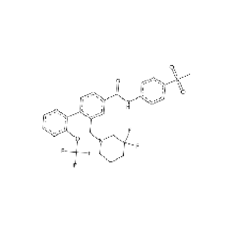 CS(=O)(=O)c1ccc(NC(=O)c2ccc(-c3ccccc3OC(F)(F)F)c(CN3CCCC(F)(F)C3)c2)cc1